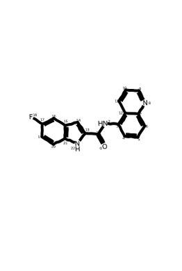 O=C(Nc1cccc2ncccc12)c1cc2cc(F)ccc2[nH]1